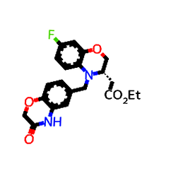 CCOC(=O)C[C@H]1COc2cc(F)ccc2N1Cc1ccc2c(c1)NC(=O)CO2